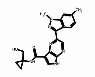 Cc1ccc2c(-c3cnc4[nH]cc(C(=O)NC5(CO)CC5)c4n3)nn(C)c2c1